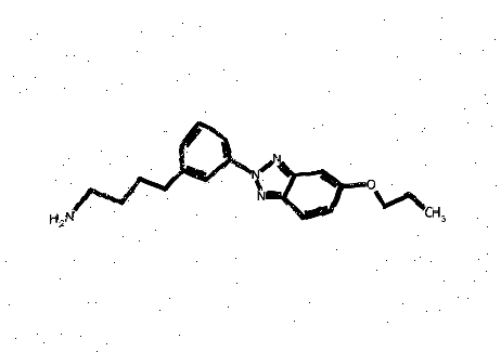 CCCOc1ccc2nn(-c3cccc(CCCCN)c3)nc2c1